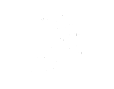 COC(=O)OC(=O)C(N)(Nc1ccc2c(c1)-c1ccccc1C2)C(=O)OC(C)(C)C